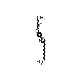 CCCCCCCCCCc1cnc(-c2ccc(OCC[C@@H](F)CCCC)cc2)nc1